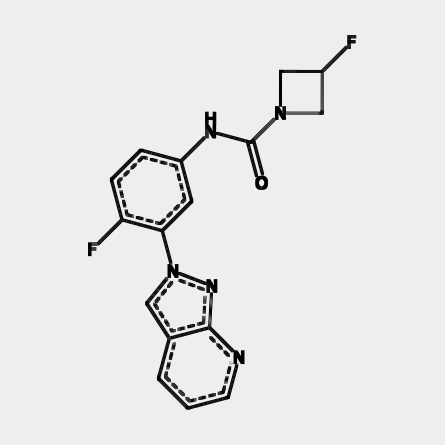 O=C(Nc1ccc(F)c(-n2cc3cccnc3n2)c1)N1CC(F)C1